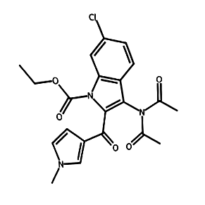 CCOC(=O)n1c(C(=O)c2ccn(C)c2)c(N(C(C)=O)C(C)=O)c2ccc(Cl)cc21